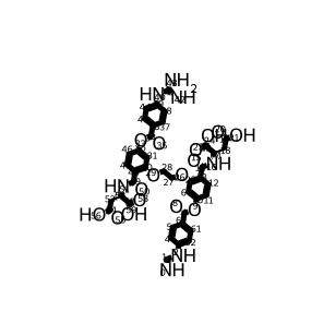 N=CNc1ccc(C(=O)Oc2ccc(C(=O)N[C@H](CC(=O)O)C(=O)O)c(OCCOc3cc(OC(=O)c4ccc(NC(=N)N)cc4)ccc3C(=O)N[C@H](CC(=O)O)C(=O)O)c2)cc1